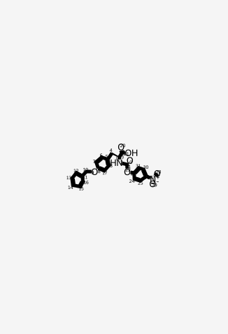 O=C(N[C@@H](Cc1ccc(OCc2ccccc2)cc1)C(=O)O)Oc1ccc([N+](=O)[O-])cc1